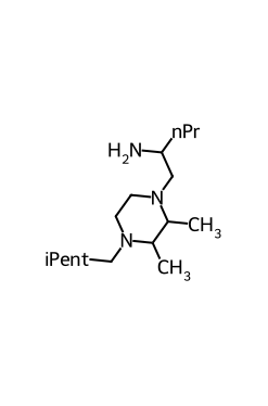 CCCC(C)CN1CCN(CC(N)CCC)C(C)C1C